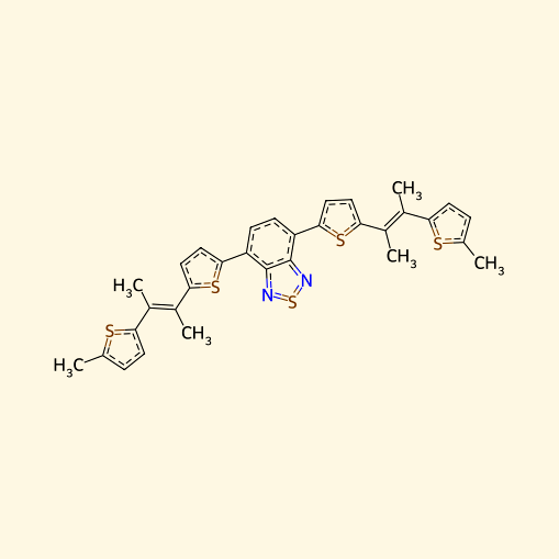 C/C(=C(/C)c1ccc(-c2ccc(-c3ccc(/C(C)=C(\C)c4ccc(C)s4)s3)c3nsnc23)s1)c1ccc(C)s1